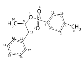 Cc1ccc(S(=O)(=O)O[C@H](C)Cc2ccccc2)cc1